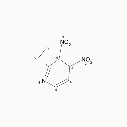 CC.O=[N+]([O-])[C]1C=CN=C[C]1[N+](=O)[O-]